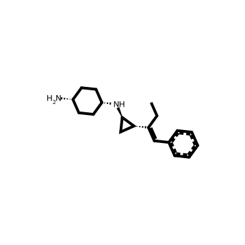 CC/C(=C\c1ccccc1)[C@@H]1C[C@H]1N[C@H]1CC[C@@H](N)CC1